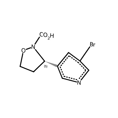 O=C(O)N1OCC[C@H]1c1cncc(Br)c1